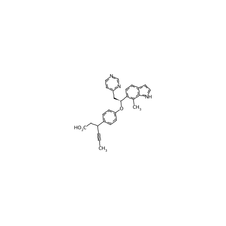 CC#CC(CC(=O)O)c1ccc(O[C@@H](Cc2ccncn2)c2ccc3cc[nH]c3c2C)cc1